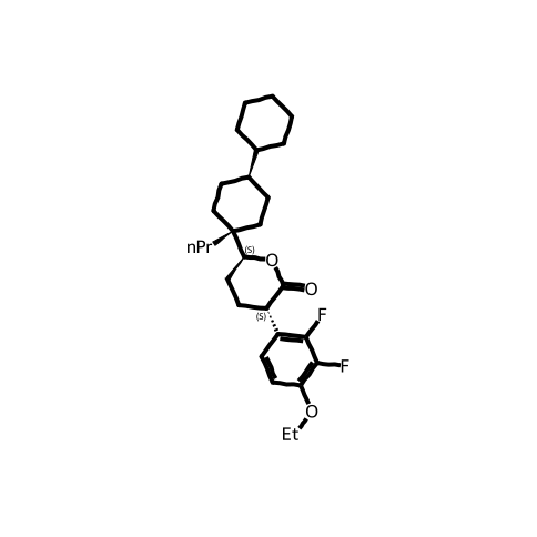 CCC[C@]1([C@@H]2CC[C@@H](c3ccc(OCC)c(F)c3F)C(=O)O2)CC[C@H](C2CCCCC2)CC1